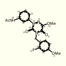 COc1ccc(Cn2c(=O)c(OC)nn(-c3cccc(NC(C)=O)c3)c2=O)c(F)c1